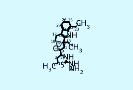 CCCC(NC(=S)NN)C(=O)CC1(CC)OCCc2c1[nH]c1c(CC)cccc21